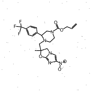 C=CCOC(=O)N1CCN(CC2(C)Cn3cc([N+](=O)[O-])nc3O2)C(c2ccc(C(F)(F)F)cc2)C1